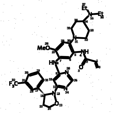 C=CC(=O)Nc1cc(Nc2cc(N3OCC[C@@H]3c3cccc(C(F)(F)F)c3)ncn2)c(OC)cc1N1CCC(N(CC)CC)CC1